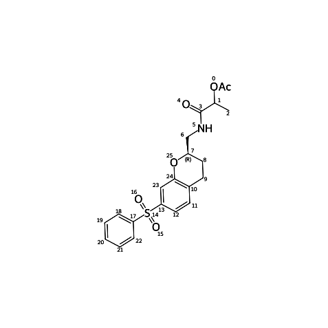 CC(=O)OC(C)C(=O)NC[C@H]1CCc2ccc(S(=O)(=O)c3ccccc3)cc2O1